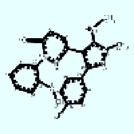 CNc1c(-c2ccc(=O)n(-c3ccccc3OC)n2)c(-c2ccc(F)cc2)nn1C